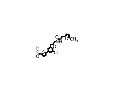 CC(=O)c1ccc(-c2cc(Cl)c3c(c2)CC(CNC(=O)/C=C/c2ccc(C)o2)O3)s1